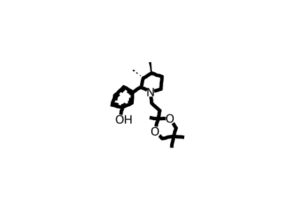 C[C@H]1CCN(CCC2(C)OCC(C)(C)CO2)C(c2cccc(O)c2)[C@@H]1C